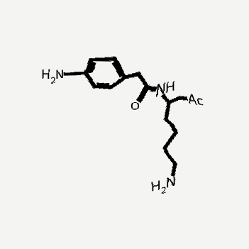 CC(=O)C(CCCCN)NC(=O)Cc1ccc(N)cc1